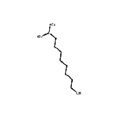 CCCCN(CCCC)CCCCCCCCO